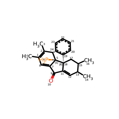 CC1=C(C)C[C@@]2(P)C(=C1)C(=O)C1=CC(C)C(C)C[C@@]12c1ccccc1